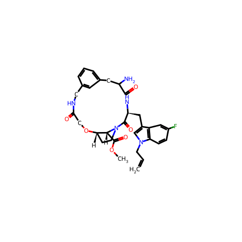 C=CCn1cc(C[C@@H]2NC(=O)C(N)Cc3cccc(c3)CNC(=O)CO[C@H]3CCN(C2=O)[C@@H]3C(=O)OC)c2cc(F)ccc21